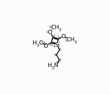 COC1=C(OC)[Si](CCCN)=C1OC